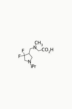 CC(C)N1CC(CN(C)CC(=O)O)C(F)(F)C1